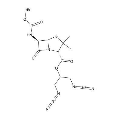 CC(C)(C)OC(=O)N[C@@H]1C(=O)N2C1SC(C)(C)[C@@H]2C(=O)OC(CN=[N+]=[N-])CN=[N+]=[N-]